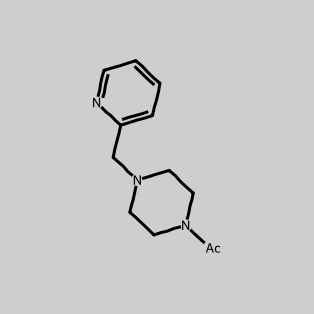 CC(=O)N1CCN(Cc2ccccn2)CC1